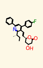 CC[C@H](C)c1nc(-c2ccccc2)cc(-c2ccc(F)cc2)c1/C=C/[C@@H]1C[C@@H](O)CC(=O)O1